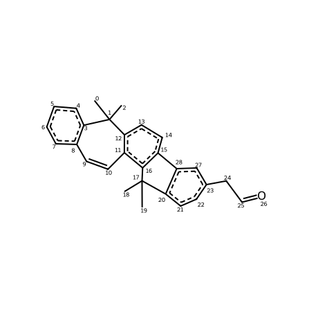 CC1(C)c2ccccc2C=Cc2c1ccc1c2C(C)(C)c2ccc(CC=O)cc2-1